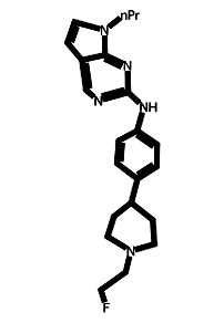 [CH2]CCn1ccc2cnc(Nc3ccc(C4CCN(CCF)CC4)cc3)nc21